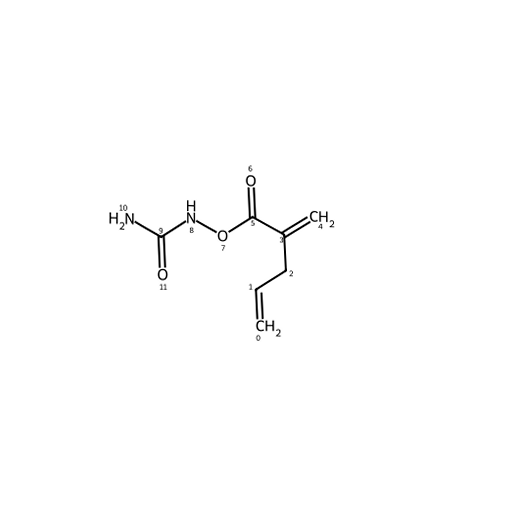 C=CCC(=C)C(=O)ONC(N)=O